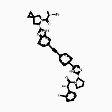 CC(C)[C@H](C)C(=O)N1CC2(CC2)C[C@H]1c1nc2ccc(C#Cc3ccc(-c4cnc([C@@H]5CCCN5C(=O)[C@H](C)c5ccccc5F)[nH]4)cc3)cc2[nH]1